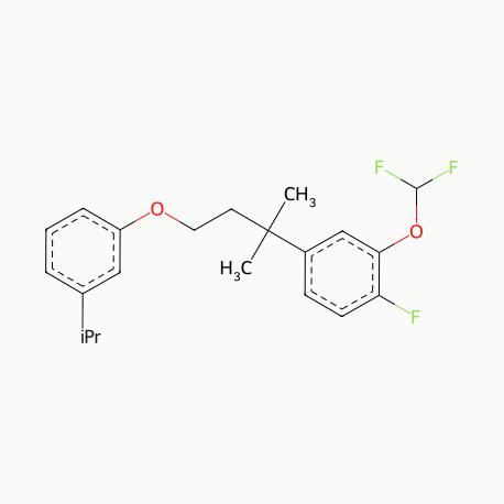 CC(C)c1cccc(OCCC(C)(C)c2ccc(F)c(OC(F)F)c2)c1